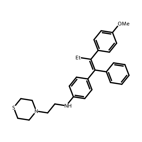 CCC(=C(c1ccccc1)c1ccc(NCCN2CCSCC2)cc1)c1ccc(OC)cc1